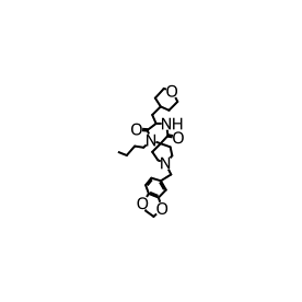 CCCCN1C(=O)C(CC2CCOCC2)NC(=O)C12CCN(Cc1ccc3c(c1)OCCO3)CC2